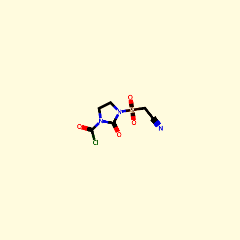 N#CCS(=O)(=O)N1CCN(C(=O)Cl)C1=O